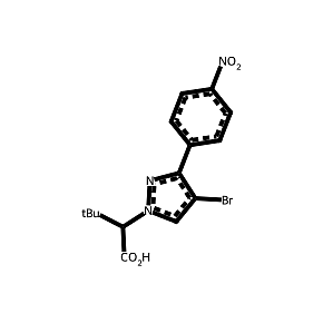 CC(C)(C)C(C(=O)O)n1cc(Br)c(-c2ccc([N+](=O)[O-])cc2)n1